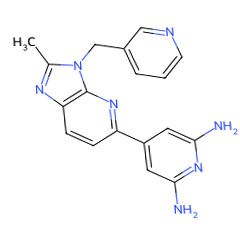 Cc1nc2ccc(-c3cc(N)nc(N)c3)nc2n1Cc1cccnc1